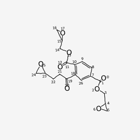 O=C(OCC1CO1)c1ccc(C(=O)OCC2CO2)c(C(=O)CCC2CO2)c1